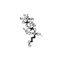 CCC[Si](C)(C)C(C)(CC)O[Si](C)(C)C(C)(CC)O[Si](C)(C)CCCOCC